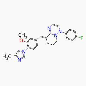 COc1cc(/C=C2\CCCN3C2=NC=CN3c2ccc(F)cc2)ccc1-n1cnc(C)c1